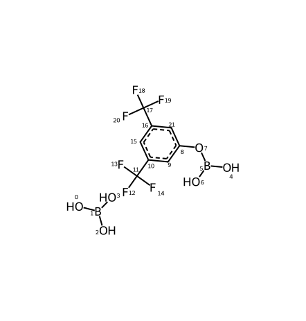 OB(O)O.OB(O)Oc1cc(C(F)(F)F)cc(C(F)(F)F)c1